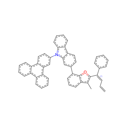 C=C/C=C(/c1ccccc1)c1oc2c(-c3ccc4c5ccccc5n(-c5ccc6c7ccccc7c7ccccc7c6c5)c4c3)cccc2c1C